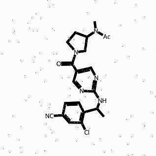 CC(=O)N(C)C1CCN(C(=O)c2cnc(NC(C)c3ccc(C#N)cc3Cl)nc2)C1